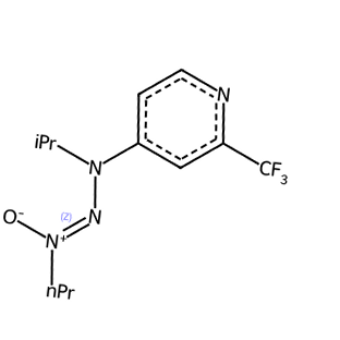 CCC/[N+]([O-])=N/N(c1ccnc(C(F)(F)F)c1)C(C)C